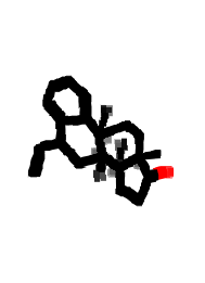 C=CC1C[C@@H]2[C@H](CC[C@]3(C)C(=O)CC[C@@H]23)c2ccccc21